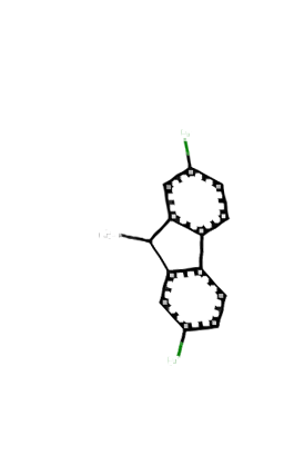 CCCCC1c2cc(Br)ccc2-c2ccc(Br)cc21